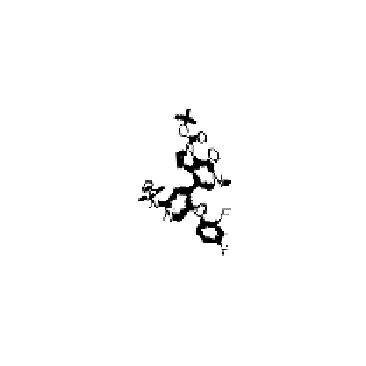 Cn1cc(-c2cc(N=S(C)(C)=O)ncc2Oc2ccc(F)cc2F)c2ccn(C(=O)OC(C)(C)C)c2c1=O